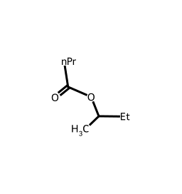 [CH2]CCC(=O)OC(C)CC